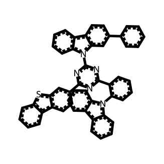 c1ccc(-c2ccc3c4ccccc4n(-c4nc(-c5ccc6c(c5)sc5ccccc56)nc(-c5ccccc5-n5c6ccccc6c6ccccc65)n4)c3c2)cc1